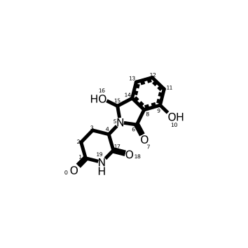 O=C1CCC(N2C(=O)c3c(O)cccc3C2O)C(=O)N1